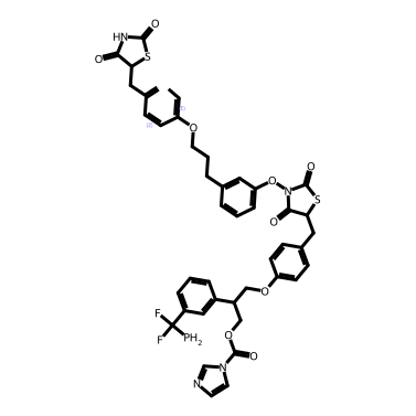 C=C(/C=C\C(=C/C)OCCCc1cccc(ON2C(=O)SC(Cc3ccc(OCC(COC(=O)n4ccnc4)c4cccc(C(F)(F)P)c4)cc3)C2=O)c1)CC1SC(=O)NC1=O